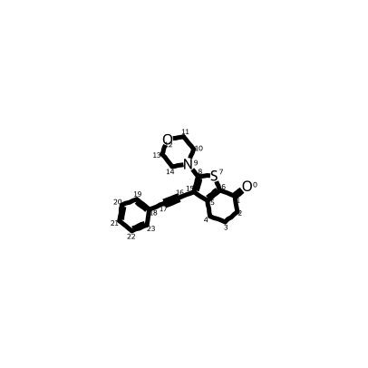 O=C1CCCc2c1sc(N1CCOCC1)c2C#Cc1ccccc1